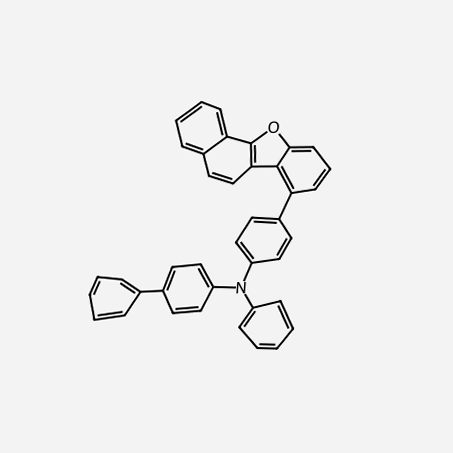 c1ccc(-c2ccc(N(c3ccccc3)c3ccc(-c4cccc5oc6c7ccccc7ccc6c45)cc3)cc2)cc1